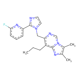 CCCc1c(Cn2ccnc2-c2cccc(F)n2)ncn2c(C)c(C)nc12